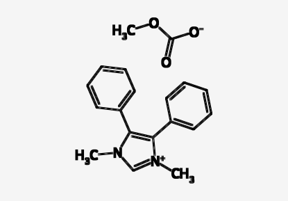 COC(=O)[O-].Cn1c[n+](C)c(-c2ccccc2)c1-c1ccccc1